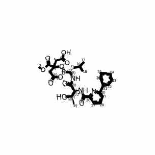 COC(=O)C1(CC(=O)O)CC(=O)OB([C@H](CC(C)C)NC(=O)[C@@H](NC(=O)c2cccc(-c3ccccc3)n2)[C@@H](C)O)O1